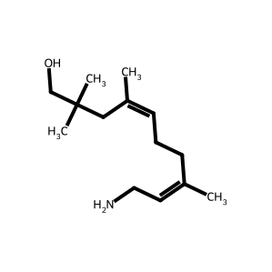 CC(=CCN)CCC=C(C)CC(C)(C)CO